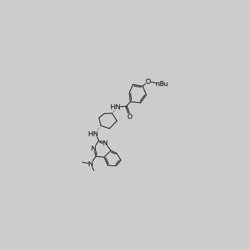 CCCCOc1ccc(C(=O)N[C@H]2CC[C@@H](Nc3nc(N(C)C)c4ccccc4n3)CC2)cc1